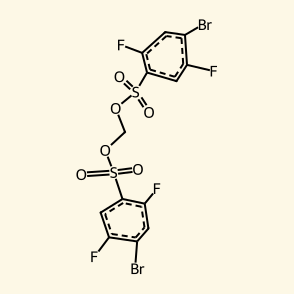 O=S(=O)(OCOS(=O)(=O)c1cc(F)c(Br)cc1F)c1cc(F)c(Br)cc1F